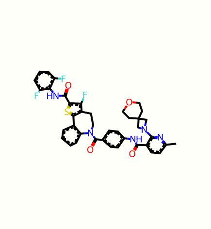 Cc1ccc(C(=O)Nc2ccc(C(=O)N3CCc4c(sc(C(=O)Nc5c(F)cccc5F)c4F)-c4ccccc43)cc2)c(N2CC3(CCOCC3)C2)n1